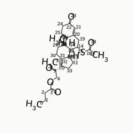 CCCC(=O)OCC(=O)[C@H]1CC[C@H]2[C@@H]3C(SC(C)=O)CC4=CC(=O)CC[C@]4(C)[C@H]3CC[C@]12C